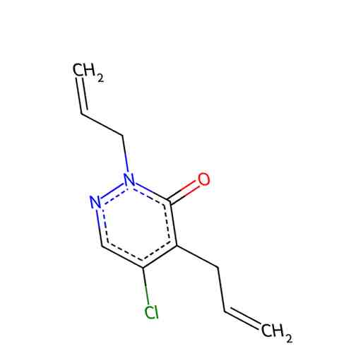 C=CCc1c(Cl)cnn(CC=C)c1=O